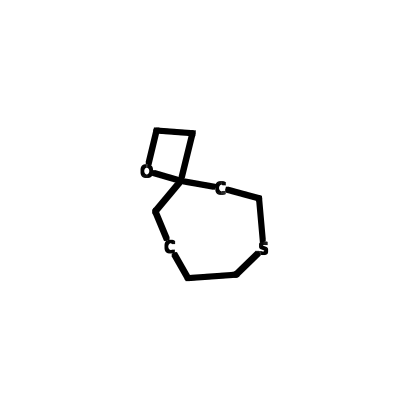 C1CCC2(CCO2)CCSC1